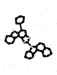 c1ccc(-c2cc3oc(-n4c5ccccc5c5c6ccccc6ccc54)nc3c3c2sc2ccccc23)cc1